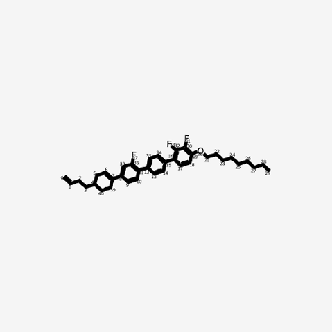 C=CCCC1CC=C(c2ccc(-c3ccc(-c4ccc(OCCCCCCCCC)c(F)c4F)cc3)c(F)c2)CC1